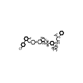 CC(CC(Sc1ccccc1)N(C)C)Nc1ccc(S(=O)(=O)Nc2ncnc3c2CCN(C2CCN(Cc4c(F)cccc4-c4ccc(Cl)cc4)CC2)C3)cc1S(=O)(=O)C(F)(F)F